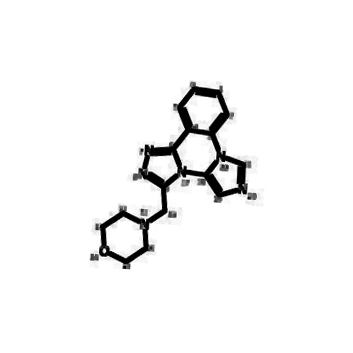 c1ccc2c(c1)c1nnc(CN3CCOCC3)n1c1cncn21